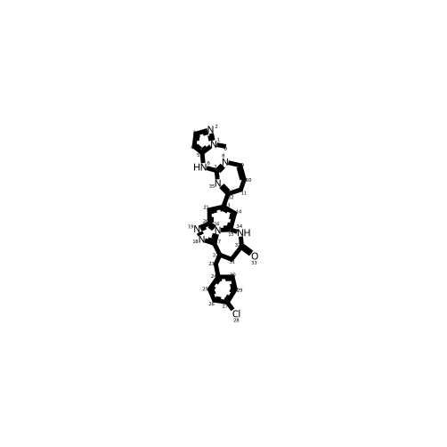 Cn1nccc1NC1=NC=CCC(c2cc3n4c(nnc4c2)C(Cc2ccc(Cl)cc2)CC(=O)N3)=N1